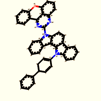 C1=CC(c2ccccc2)CC=C1n1c2ccccc2c2ccc3c(c4ccccc4n3-c3nc4c5c(cccc5n3)Oc3ccccc3-4)c21